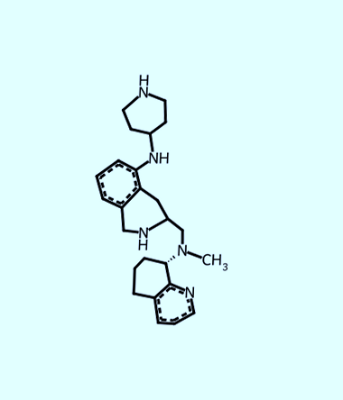 CN(CC1Cc2c(cccc2NC2CCNCC2)CN1)[C@H]1CCCc2cccnc21